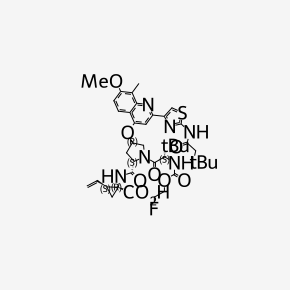 C=C[C@@H]1C[C@]1(NC(=O)[C@@H]1C[C@@H](Oc2cc(-c3csc(NC(=O)CC(C)(C)C)n3)nc3c(C)c(OC)ccc23)CN1C(=O)[C@@H](NC(=O)OCCF)C(C)(C)C)C(=O)O